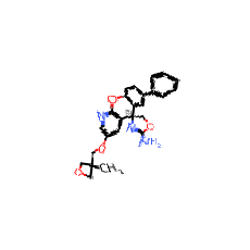 CC1(COc2cnc3c(c2)[C@]2(COC(N)=N2)c2cc(-c4ccccc4)ccc2O3)COC1